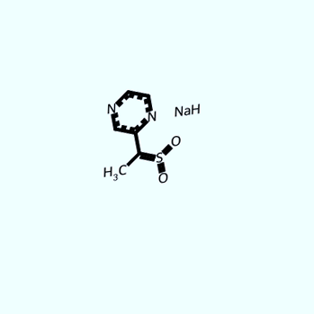 CC(c1cnccn1)=S(=O)=O.[NaH]